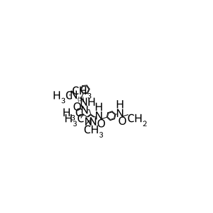 C=CC(=O)Nc1ccc(C(=O)Nc2nn(CC)c3c2CN(C(=O)N[C@H](CN(C)C)c2ccccc2)C3(C)C)cc1